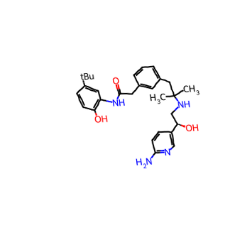 CC(C)(Cc1cccc(CC(=O)Nc2cc(C(C)(C)C)ccc2O)c1)NC[C@@H](O)c1ccc(N)nc1